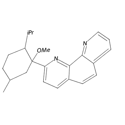 COC1(c2ccc3ccc4cccnc4c3n2)CC(C)CCC1C(C)C